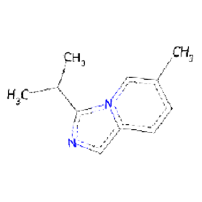 Cc1ccc2cnc(C(C)C)n2c1